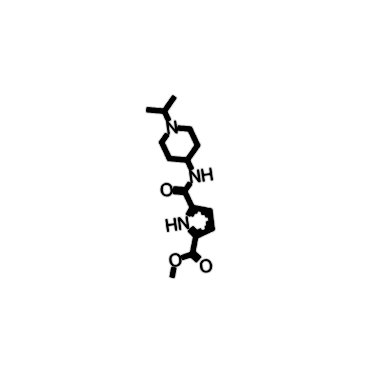 COC(=O)c1ccc(C(=O)NC2CCN(C(C)C)CC2)[nH]1